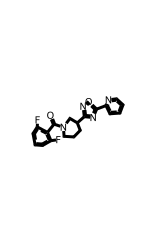 O=C(c1c(F)cccc1F)N1CCCC(c2noc(-c3ccccn3)n2)C1